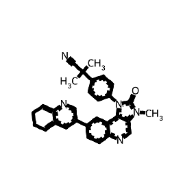 Cn1c(=O)n(-c2ccc(C(C)(C)C#N)cc2)c2c3cc(-c4cnc5c(c4)=CCCC=5)ccc3ncc21